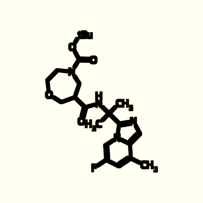 Cc1cc(F)cn2c(C(C)(C)NC(=O)C3COCCN(C(=O)OC(C)(C)C)C3)ncc12